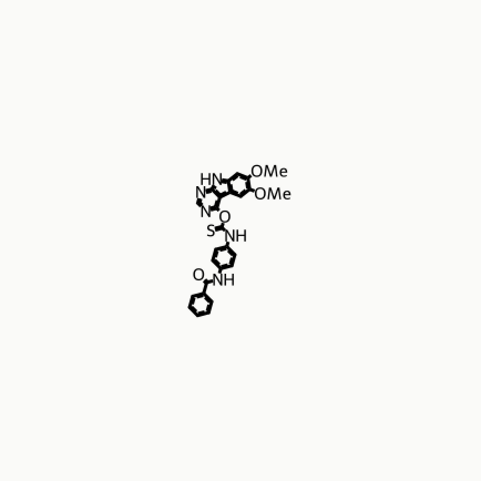 COc1cc2[nH]c3ncnc(OC(=S)Nc4ccc(NC(=O)c5ccccc5)cc4)c3c2cc1OC